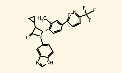 Cc1cc(-c2ccc(C(F)(F)F)nn2)ccc1[C@H]1C(C2CC2)C(=O)N1c1ccc2[nH]cnc2c1